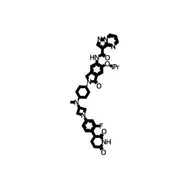 CC(C)Oc1cc2c(cc1NC(=O)c1cnn3cccnc13)CN([C@H]1CC[C@H](N(C)C3CN(c4ccc(C5CCC(=O)NC5=O)c(F)c4)C3)CC1)C2=O